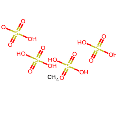 C.O=S(=O)(O)O.O=S(=O)(O)O.O=S(=O)(O)O.O=S(=O)(O)O